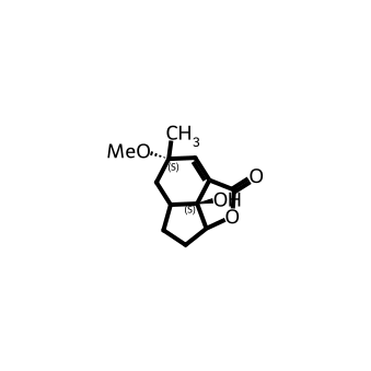 CO[C@]1(C)C=C2C(=O)OC3CCC(C1)[C@]23O